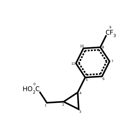 O=C(O)CC1CC1c1ccc(C(F)(F)F)cc1